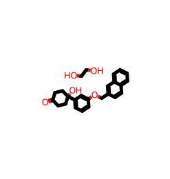 O=C1CCC(O)(c2cccc(OCc3ccc4ccccc4c3)c2)CC1.OCCO